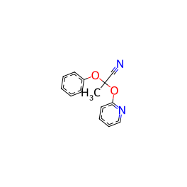 CC(C#N)(Oc1ccccc1)Oc1ccccn1